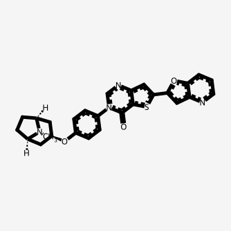 CN1[C@@H]2CC[C@H]1C[C@@H](Oc1ccc(-n3cnc4cc(-c5cc6ncccc6o5)sc4c3=O)cc1)C2